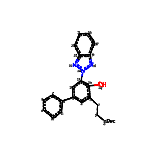 CCCCCCCCCCCCc1cc(-c2ccccc2)cc(-n2nc3ccccc3n2)c1O